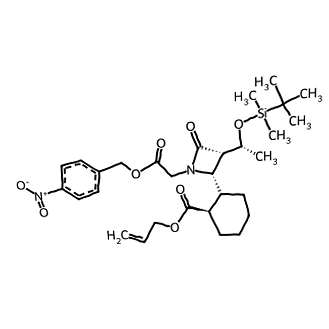 C=CCOC(=O)[C@@H]1CCCCC1[C@H]1[C@@H]([C@@H](C)O[Si](C)(C)C(C)(C)C)C(=O)N1CC(=O)OCc1ccc([N+](=O)[O-])cc1